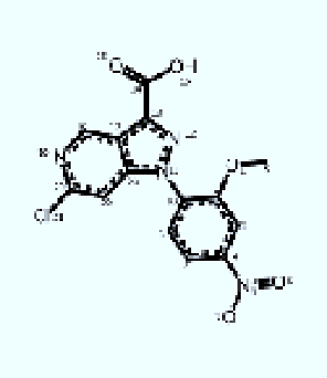 COc1cc([N+](=O)[O-])ccc1-n1nc(C(=O)O)c2cnc(Cl)cc21